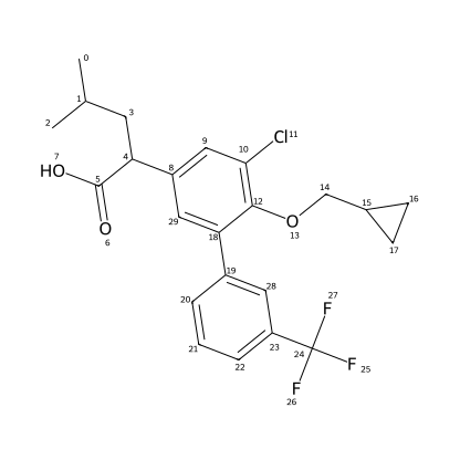 CC(C)CC(C(=O)O)c1cc(Cl)c(OCC2CC2)c(-c2cccc(C(F)(F)F)c2)c1